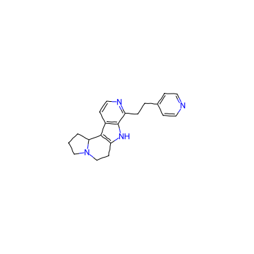 c1cc(CCc2nccc3c4c([nH]c23)CCN2CCCC42)ccn1